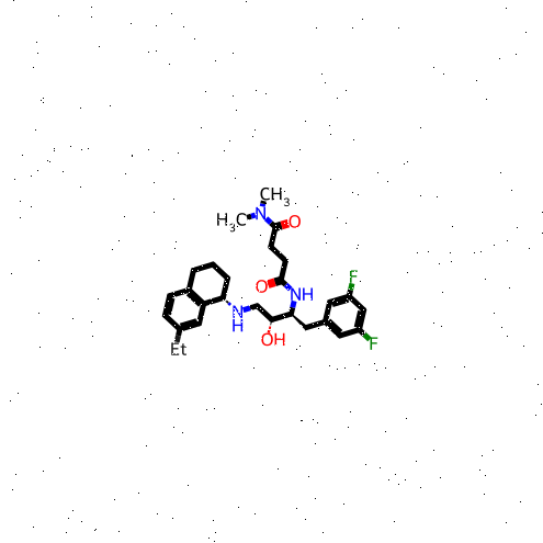 CCc1ccc2c(c1)[C@@H](NC[C@@H](O)[C@H](Cc1cc(F)cc(F)c1)NC(=O)CCC(=O)N(C)C)CCC2